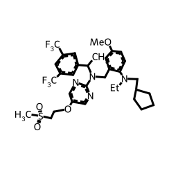 CCN(CC1CCCC1)c1ccc(OC)cc1CN(c1ncc(OCCS(C)(=O)=O)cn1)C(C)c1cc(C(F)(F)F)cc(C(F)(F)F)c1